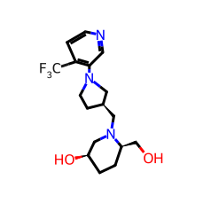 OC[C@H]1CC[C@@H](O)CN1C[C@H]1CCN(c2cnccc2C(F)(F)F)C1